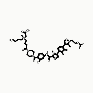 Cc1c(-c2cnc(C(=O)Nc3ccc(C(=O)N4CCN(C(=O)CCC[N+](C)(CCCN)CC(=O)O)CC4)c(Cl)c3)n2C)ccc(-c2cnn(CCOC(F)F)c2C)c1F